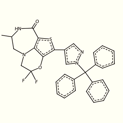 CC1CN2CC(F)(F)Oc3c(-c4cnn(C(c5ccccc5)(c5ccccc5)c5ccccc5)c4)sc(c32)C(=O)N1